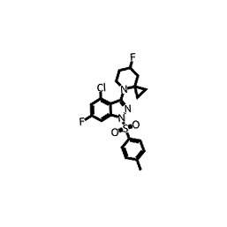 Cc1ccc(S(=O)(=O)n2nc(N3CCC(F)CC34CC4)c3c(Cl)cc(F)cc32)cc1